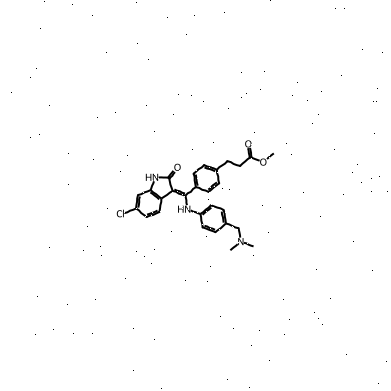 COC(=O)CCc1ccc(C(Nc2ccc(CN(C)C)cc2)=C2C(=O)Nc3cc(Cl)ccc32)cc1